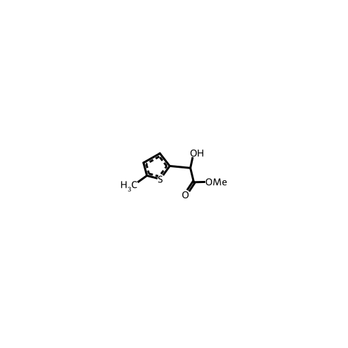 COC(=O)C(O)c1ccc(C)s1